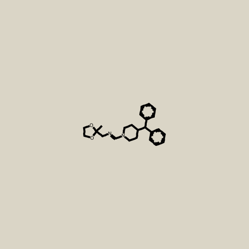 CC1(CN=CN2CCC(C(c3ccccc3)c3ccccc3)CC2)OCCO1